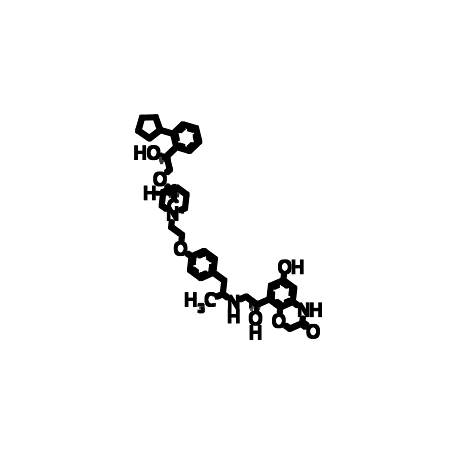 CC(Cc1ccc(OCC[N+]23CCC(CC2)[C@@H](OC[C@H](O)c2ccccc2C2CCCC2)C3)cc1)NC[C@H](O)c1cc(O)cc2c1OCC(=O)N2